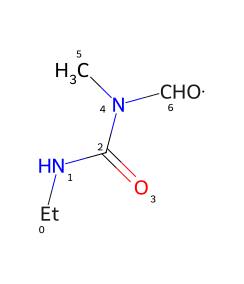 CCNC(=O)N(C)[C]=O